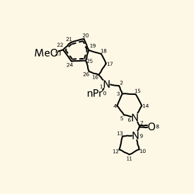 CCCN(CC1CCN(C(=O)N2CCCC2)CC1)C1CCc2ccc(OC)cc2C1